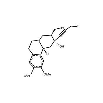 COc1cc2c(cc1OC)[C@H]1C[C@](O)(C#CCF)[C@H](CC(C)C)CN1CC2